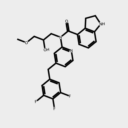 COCC(O)CN(C(=O)c1cccc2c1CCN2)c1cc(Cc2cc(F)c(F)c(F)c2)ccn1